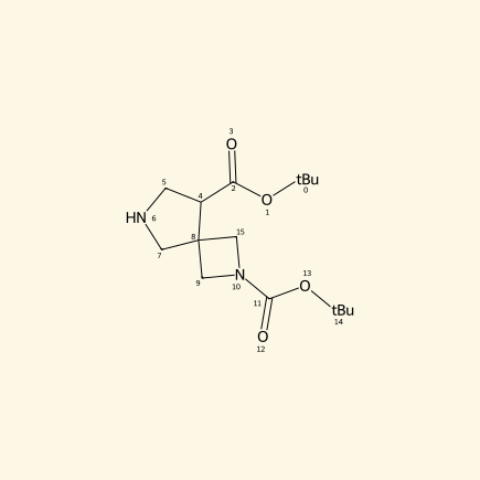 CC(C)(C)OC(=O)C1CNCC12CN(C(=O)OC(C)(C)C)C2